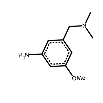 COc1cc(N)cc(CN(C)C)c1